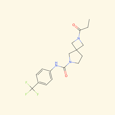 CCC(=O)N1CC2(CCN(C(=O)Nc3ccc(C(F)(F)F)cc3)C2)C1